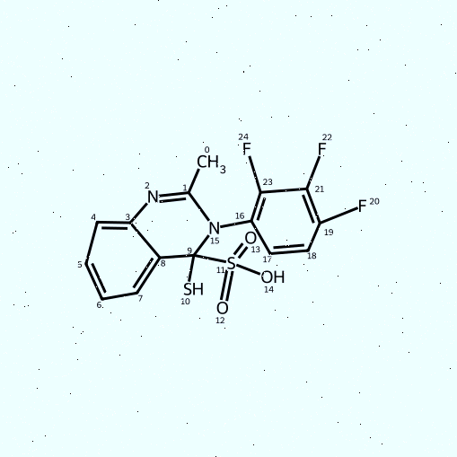 CC1=Nc2ccccc2C(S)(S(=O)(=O)O)N1c1ccc(F)c(F)c1F